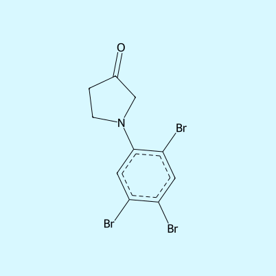 O=C1CCN(c2cc(Br)c(Br)cc2Br)C1